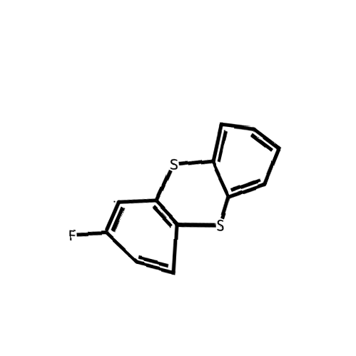 Fc1[c]c2c(cc1)Sc1ccccc1S2